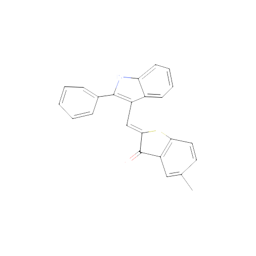 Cc1ccc2c(c1)C(=O)/C(=C/c1c(-c3ccccc3)[nH]c3ccccc13)S2